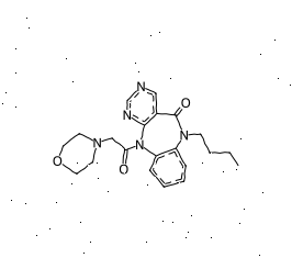 CCCCN1C(=O)c2cncnc2N(C(=O)CN2CCOCC2)c2ccccc21